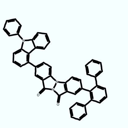 O=c1c2cc(-c3c(-c4ccccc4)cccc3-c3ccccc3)ccc2n2c3ccc(-c4cccc5c4c4ccccc4n5-c4ccccc4)cc3c(=O)n12